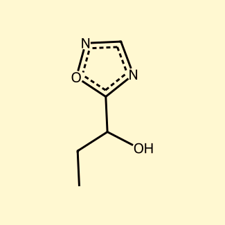 CCC(O)c1ncno1